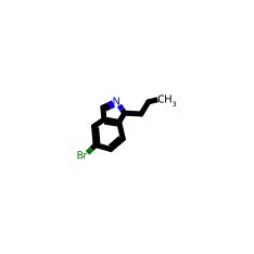 CCCC1N=Cc2cc(Br)ccc21